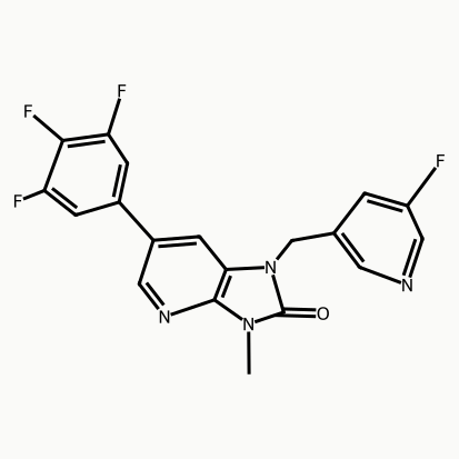 Cn1c(=O)n(Cc2cncc(F)c2)c2cc(-c3cc(F)c(F)c(F)c3)cnc21